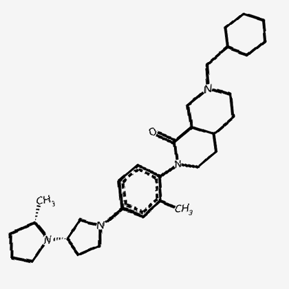 Cc1cc(N2CC[C@H](N3CCC[C@@H]3C)C2)ccc1N1CCC2CCN(CC3CCCCC3)CC2C1=O